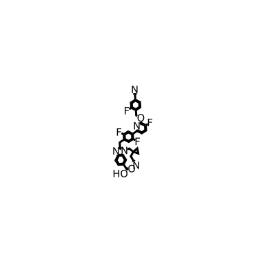 N#CCC1(Cn2c(Cc3cc(F)c(-c4ccc(F)c(OCc5ccc(C#N)cc5F)n4)cc3F)nc3ccc(C(=O)O)cc32)CC1